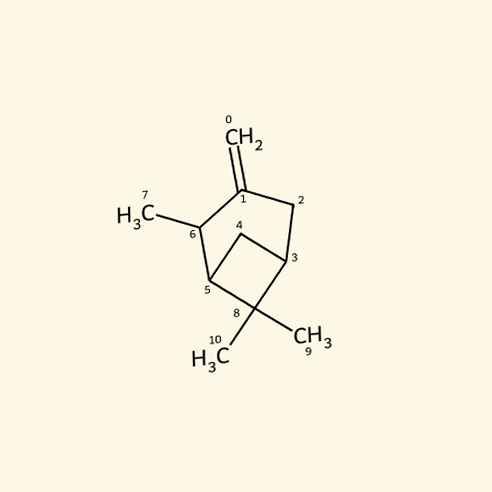 C=C1CC2CC(C1C)C2(C)C